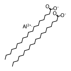 CCCCCCCCCCCCCCCCCC(=O)[O-].CCCCCCCCCCCCCCCCCC(=O)[O-].[Al+2]